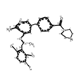 C[C@@H](Oc1cc(-c2ccc(C(=O)N3CCNCC3)cc2)cnc1N)c1c(Cl)ccc(F)c1Cl